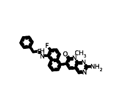 Cn1c(=O)c(-c2cccc3c(NSCc4ccccc4)c(F)ccc23)cc2cnc(N)nc21